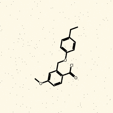 CCc1ccc(OCc2cc(OC)ccc2C(=O)Cl)cc1